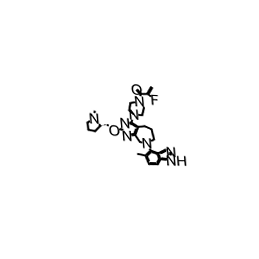 C=C(F)C(=O)N1CCN(c2nc(OC[C@@H]3CCCN3C)nc3c2CCCN(c2c(C)ccc4[nH]ncc24)C3)CC1